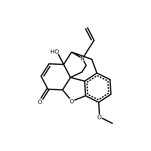 C=CN1CCC23c4c5ccc(OC)c4OC2C(=O)C=CC3(O)C1C5